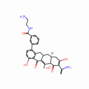 C=C(N)C1=C(O)C[C@@H]2CC3Cc4c(-c5cccc(C(=O)NCCN)c5)ccc(O)c4C(=O)C3=C(C)[C@]2(O)C1=O